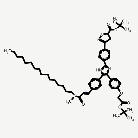 CCCCCCCCCCCCCCCCN(C)C(=O)/C=C/c1ccc(-c2[nH]c(-c3ccc(C4=NOC(C(=O)OC(C)(C)C)C4)cc3)nc2-c2ccc(OCC(=O)OC(C)(C)C)cc2)cc1